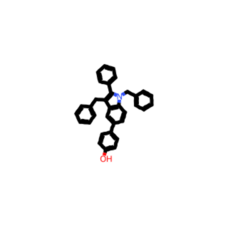 Oc1ccc(-c2ccc3c(c2)c(Cc2ccccc2)c(-c2ccccc2)n3Cc2ccccc2)cc1